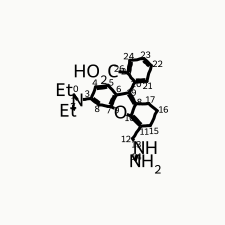 CCN(CC)c1ccc2c(c1)OC1=C(CNN)CCCC1=C2c1ccccc1C(=O)O